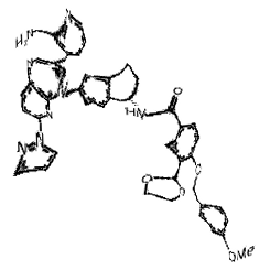 COc1ccc(COc2ccc(C(=O)N[C@H]3CCc4cc(-n5c(-c6cccnc6N)nc6ccc(-n7cccn7)nc65)ccc43)cc2C2OCCO2)cc1